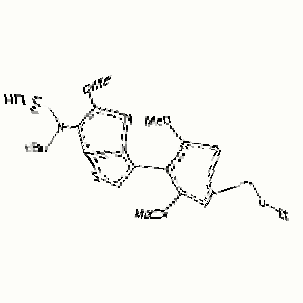 CCOCc1cc(OC)c(-c2csc3c(N(C(=O)O)C(C)(C)C)c(OC)nn23)c(OC)c1